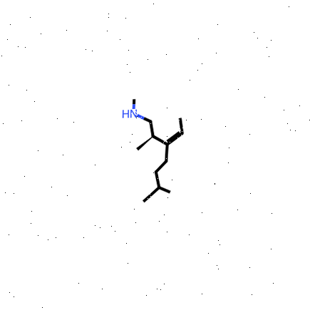 C/C=C(/CCC(C)C)[C@@H](C)CNC